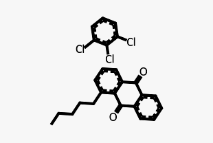 CCCCCc1cccc2c1C(=O)c1ccccc1C2=O.Clc1cccc(Cl)c1Cl